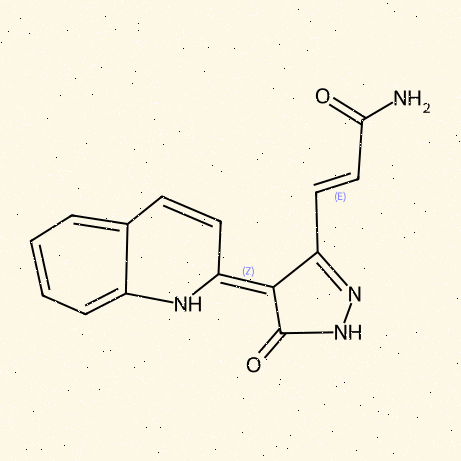 NC(=O)/C=C/C1=NNC(=O)/C1=C1/C=Cc2ccccc2N1